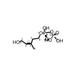 C/C(=C/CO)CCOP(=O)(O)OP(=O)(O)O